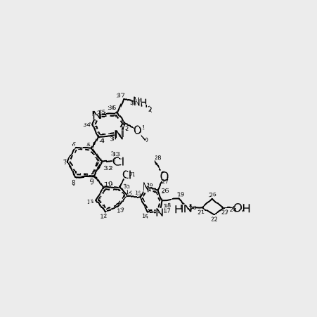 COc1nc(-c2cccc(-c3cccc(-c4cnc(CNC5CC(O)C5)c(OC)n4)c3Cl)c2Cl)cnc1CN